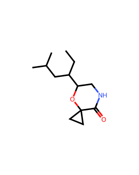 CCC(CC(C)C)C1CNC(=O)C2(CC2)O1